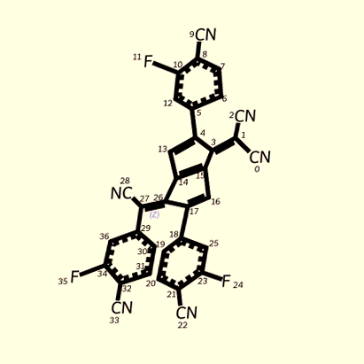 N#CC(C#N)=C1C(c2ccc(C#N)c(F)c2)=CC2=C1C=C(c1ccc(C#N)c(F)c1)/C2=C(/C#N)c1ccc(C#N)c(F)c1